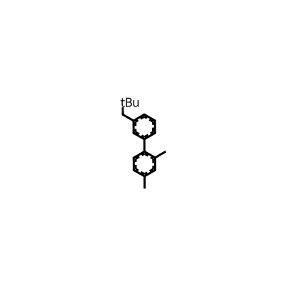 Cc1ccc(-c2cccc(CC(C)(C)C)c2)c(C)c1